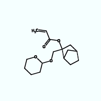 C=CC(=O)OC1(COC2CCCCO2)CC2CCC1C2